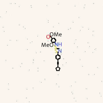 COC(=O)c1ccc(NSc2cnc(-c3ccc(C#CC4CCCC4)cc3)s2)c(OC)c1